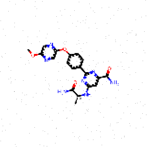 COc1cnc(Oc2ccc(-c3nc(N[C@@H](C)C(N)=O)cc(C(N)=O)n3)cc2)cn1